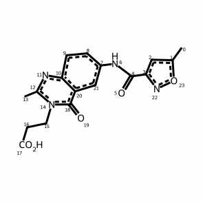 Cc1cc(C(=O)Nc2ccc3nc(C)n(CCC(=O)O)c(=O)c3c2)no1